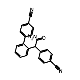 N#Cc1ccc(-c2ccccc2C(C(N)=O)c2ccc(C#N)cc2)cc1